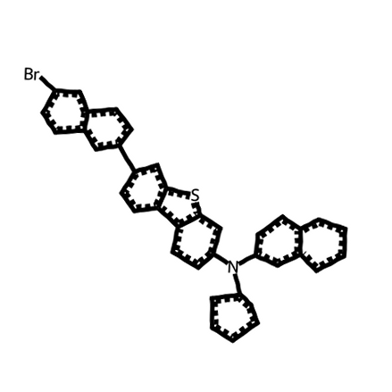 Brc1ccc2cc(-c3ccc4c(c3)sc3cc(N(c5ccccc5)c5ccc6ccccc6c5)ccc34)ccc2c1